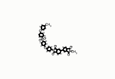 Cc1ccc(Oc2ccc(S(=O)(=O)c3ccc(Oc4ccc(N5C(=O)c6ccc(-c7ccc8c(c7)C(=O)N(C)C8=O)cc6C5=O)cc4)cc3)cc2)cc1